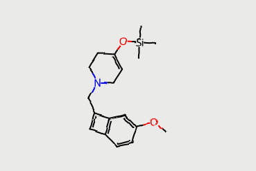 COc1ccc2c(c1)C(CN1CC=C(O[Si](C)(C)C)CC1)=C2